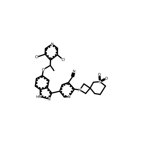 CC(Oc1ccc2[nH]nc(-c3cnc(N4CC5(CCCS(=O)(=O)C5)C4)c(C#N)c3)c2c1)c1c(Cl)cncc1Cl